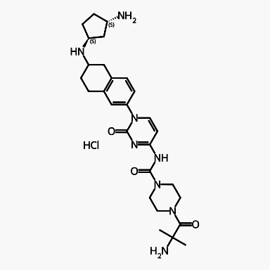 CC(C)(N)C(=O)N1CCN(C(=O)Nc2ccn(-c3ccc4c(c3)CCC(N[C@H]3CC[C@H](N)C3)C4)c(=O)n2)CC1.Cl